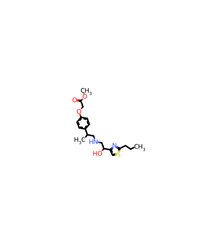 CCCc1nc(C(O)CNCC(C)c2ccc(OCC(=O)OC)cc2)cs1